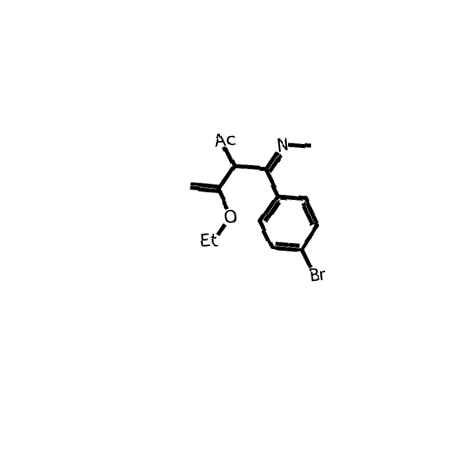 C=C(OCC)C(C(C)=O)/C(=N/C)c1ccc(Br)cc1